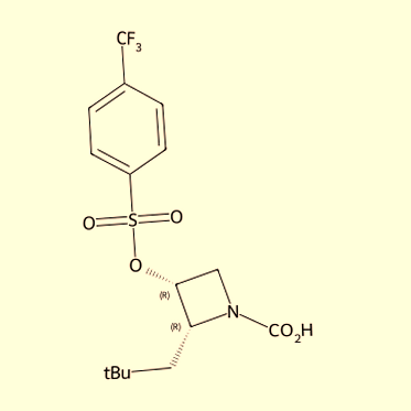 CC(C)(C)C[C@@H]1[C@H](OS(=O)(=O)c2ccc(C(F)(F)F)cc2)CN1C(=O)O